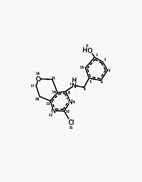 Oc1cccc(CNc2nc(Cl)nc3c2COCC3)c1